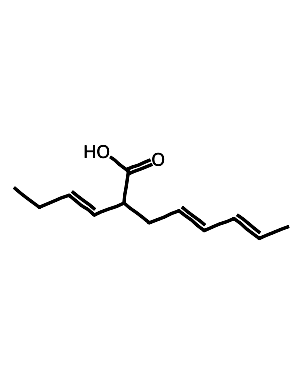 CC=CC=CCC(C=CCC)C(=O)O